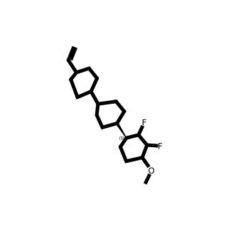 C=CC1CCC(C2CCC([C@@H]3CCC(OC)C(F)C3F)CC2)CC1